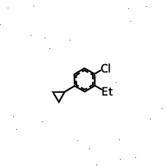 [CH2]Cc1cc(C2CC2)ccc1Cl